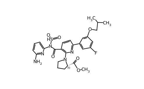 COC(=O)[C@@H]1CCCN1c1nc(-c2cc(F)cc(OCC(C)C)c2)ccc1C(=O)N(c1cccc(N)n1)[SH](=O)=O